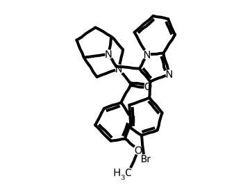 COc1cccc(C(=O)N2CC3CCC(C2)N3Cc2c(-c3ccc(Br)cc3)nc3ccccn23)n1